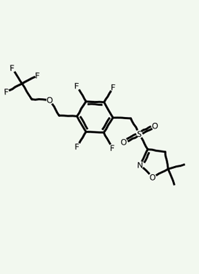 CC1(C)CC(S(=O)(=O)Cc2c(F)c(F)c(COCC(F)(F)F)c(F)c2F)=NO1